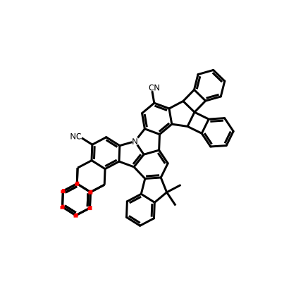 CC1(C)c2ccccc2-c2c1cc1c3c4c(c(C#N)cc3n3c5cc(C#N)c6c(c5c2c13)C1c2ccccc2C6c2ccccc21)C1c2ccccc2C12c1ccccc1C42